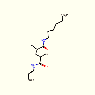 CCCCCCCCCCCCNC(=O)C(CC)CC(C)C(=O)NCCCCCC(=O)O